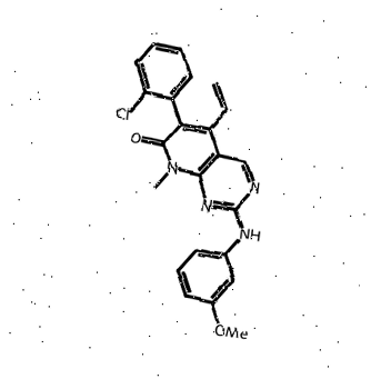 C=Cc1c(-c2ccccc2Cl)c(=O)n(C)c2nc(Nc3cccc(OC)c3)ncc12